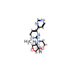 CN1CC=C(c2ccncn2)N=C1N1CCO[C@@H]2COC[C@H]21